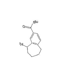 [2H]C1CCCCc2ccc(C(=O)C(C)(C)C)cc21